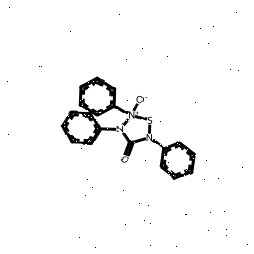 O=C1N(c2ccccc2)S[N+]([O-])(c2ccccc2)N1c1ccccc1